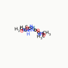 C=CC(=O)N1CCC(Nc2cc3c(Nc4ccc(Oc5ccnc(N6CC(C)(OC)C6)c5)cc4F)ncnc3cc2OC)CC1